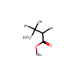 CCCCOC(=O)C(C(C)C)C(C#N)(C(=O)OCC)C(C)C